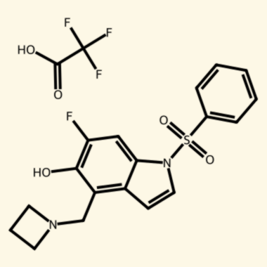 O=C(O)C(F)(F)F.O=S(=O)(c1ccccc1)n1ccc2c(CN3CCC3)c(O)c(F)cc21